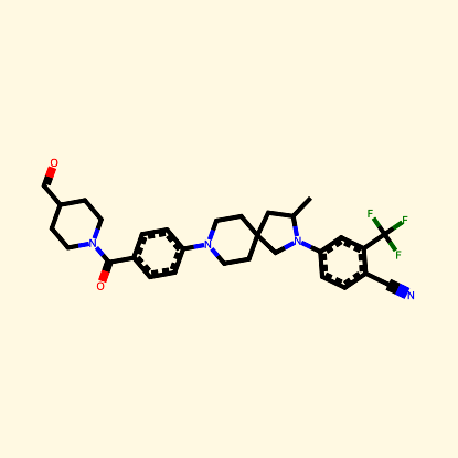 CC1CC2(CCN(c3ccc(C(=O)N4CCC(C=O)CC4)cc3)CC2)CN1c1ccc(C#N)c(C(F)(F)F)c1